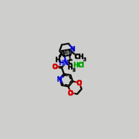 CC1(C)[C@H](NC(=O)c2cc3c(cn2)OCCO3)C2CCN1CC2.Cl